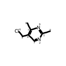 Cc1ncc(CCl)c(C)n1